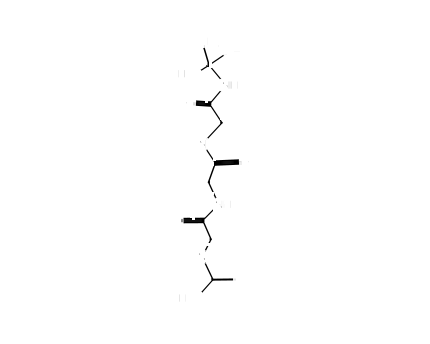 CC(C)NCC(=O)NCC(=O)NCC(=O)NC(C)(C)C